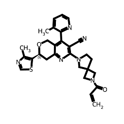 C=CC(=O)N1CC2(CCN(c3nc4c(c(-c5ncccc5C)c3C#N)CO[C@H](c3scnc3C)C4)C2)C1